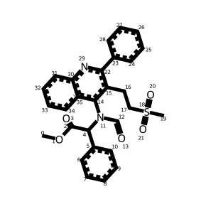 COC(=O)C(c1ccccc1)N(C=O)c1c(CCS(C)(=O)=O)c(-c2ccccc2)nc2ccccc12